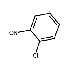 O=Nc1c[c]ccc1Cl